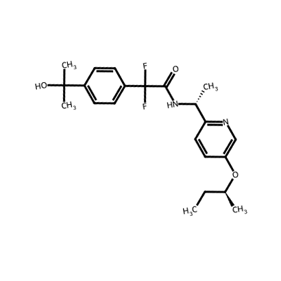 CC[C@H](C)Oc1ccc([C@@H](C)NC(=O)C(F)(F)c2ccc(C(C)(C)O)cc2)nc1